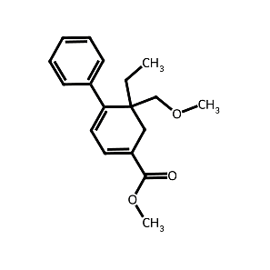 CCC1(COC)CC(C(=O)OC)=CC=C1c1ccccc1